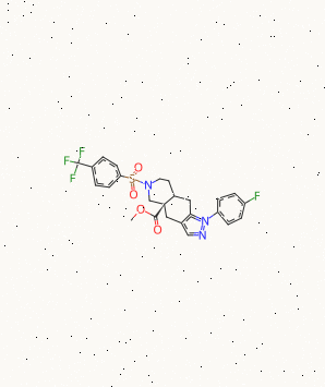 COC(=O)[C@]12Cc3cnn(-c4ccc(F)cc4)c3CC1CCN(S(=O)(=O)c1ccc(C(F)(F)F)cc1)C2